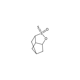 O=S1(=S)OC2CC3CC2C1C3